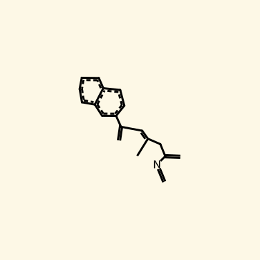 C=NC(=C)C/C(C)=C/C(=C)c1ccc2ccccc2c1